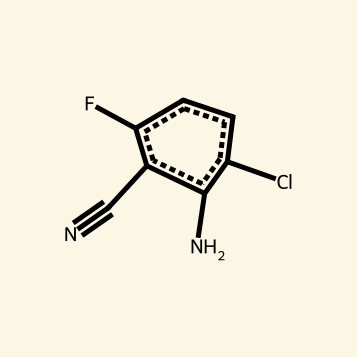 N#Cc1c(F)ccc(Cl)c1N